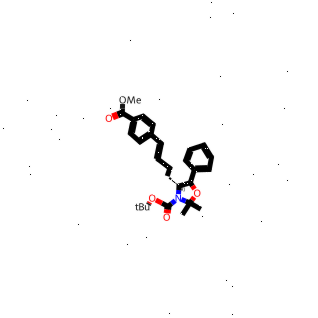 COC(=O)c1ccc(C=CCC[C@@H]2C(c3ccccc3)OC(C)(C)N2C(=O)OC(C)(C)C)cc1